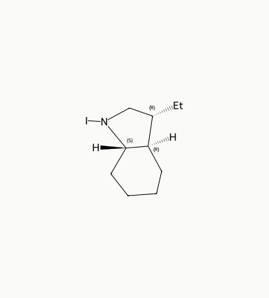 CC[C@H]1CN(I)[C@H]2CCCC[C@H]12